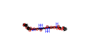 C=C(/C=C\C(=C/C)O[C@@H]1CCC2=CCCC=C21)S(=O)(=O)NCCOCCOCCNC(=O)NCCCCNC(=O)NCCOCCOCCNS(=O)(=O)c1ccc(O[C@@H]2CCc3ccccc32)cc1